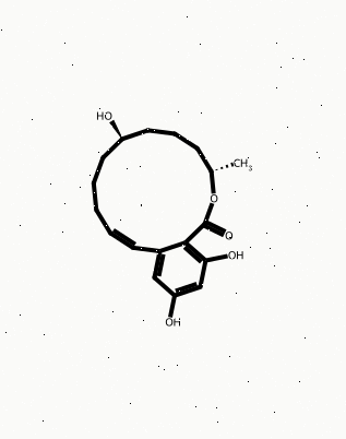 C[C@H]1CCC[C@H](O)CCCC=Cc2cc(O)cc(O)c2C(=O)O1